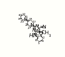 COc1ccccc1Nc1nc(C#N)nc(N2CCC(N3CCCCC3)CC2)n1